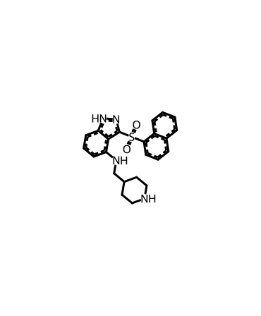 O=S(=O)(c1cccc2ccccc12)c1n[nH]c2cccc(NCC3CCNCC3)c12